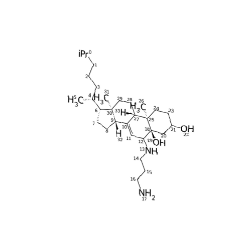 CC(C)CCC[C@@H](C)[C@H]1CC[C@H]2C3=CC(NCCCN)[C@@]4(O)CC(O)CC[C@]4(C)[C@H]3CC[C@]12C